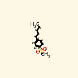 CCCCCc1ccc(S(C)(=O)=O)cc1